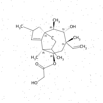 C=C[C@]1(C)C[C@@H](OC(=O)CO)[C@@]2(C)C3=CC(C)C[C@@]3(CCC2C)[C@@H](C)[C@@H]1O